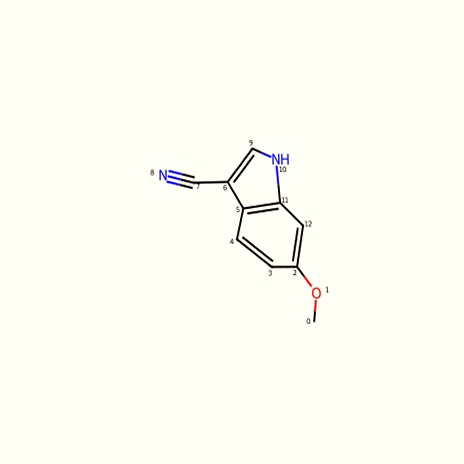 COc1ccc2c(C#N)c[nH]c2c1